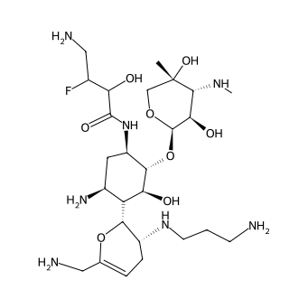 CN[C@@H]1[C@@H](O)[C@@H](O[C@H]2[C@H](NC(=O)C(O)C(F)CN)C[C@H](N)C([C@H]3OC(CN)=CC[C@H]3NCCCN)[C@@H]2O)OC[C@]1(C)O